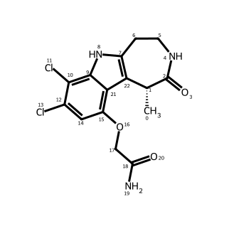 C[C@H]1C(=O)NCCc2[nH]c3c(Cl)c(Cl)cc(OCC(N)=O)c3c21